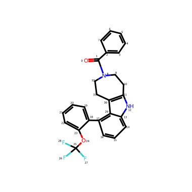 O=C(c1ccccc1)N1CCc2[nH]c3cccc(-c4ccccc4OC(F)(F)F)c3c2CC1